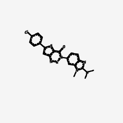 CN(C)c1nc2ccc(-n3nnc4cc(-c5ccc(Cl)cc5)sc4c3=O)cc2n1C